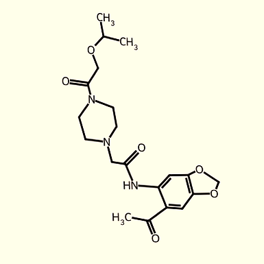 CC(=O)c1cc2c(cc1NC(=O)CN1CCN(C(=O)COC(C)C)CC1)OCO2